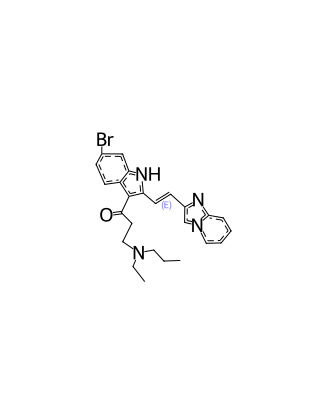 CCCN(CC)CCC(=O)c1c(/C=C/c2cn3ccccc3n2)[nH]c2cc(Br)ccc12